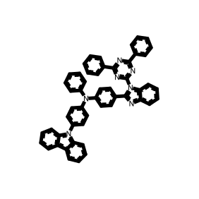 c1ccc(-c2nc(-c3ccccc3)nc(-n3c(-c4ccc(N(c5ccccc5)c5ccc(-n6c7ccccc7c7ccccc76)cc5)cc4)nc4ccccc43)n2)cc1